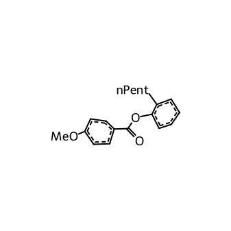 CCCCCc1ccccc1OC(=O)c1ccc(OC)cc1